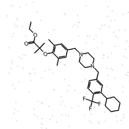 CCOC(=O)C(C)(C)Oc1c(C)cc(CN2CCN(Cc3ccc(C(F)(F)F)c(C4CCCCC4)c3)CC2)cc1C